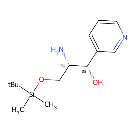 CC(C)(C)[Si](C)(C)OC[C@H](N)[C@@H](O)c1cccnc1